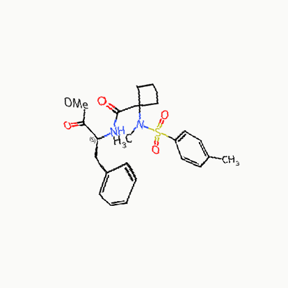 COC(=O)[C@H](Cc1ccccc1)NC(=O)C1(N(C)S(=O)(=O)c2ccc(C)cc2)CCC1